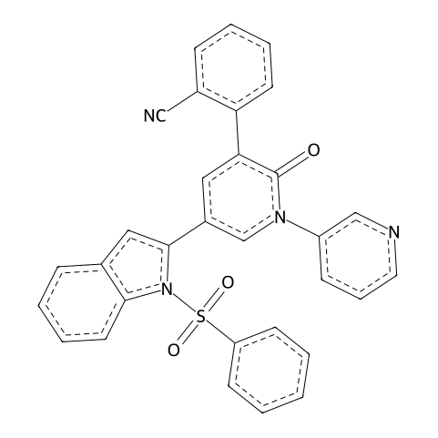 N#Cc1ccccc1-c1cc(-c2cc3ccccc3n2S(=O)(=O)c2ccccc2)cn(-c2cccnc2)c1=O